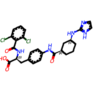 O=C(N[C@@H](Cc1ccc(NC(=O)[C@@H]2CCC[C@H](Nc3ncc[nH]3)C2)cc1)C(=O)O)c1c(Cl)cccc1Cl